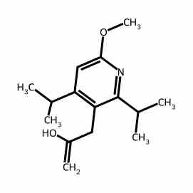 C=C(O)Cc1c(C(C)C)cc(OC)nc1C(C)C